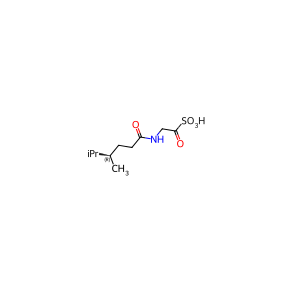 CC(C)[C@H](C)CCC(=O)NCC(=O)S(=O)(=O)O